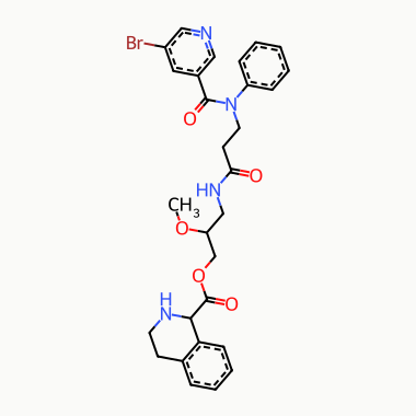 COC(CNC(=O)CCN(C(=O)c1cncc(Br)c1)c1ccccc1)COC(=O)C1NCCc2ccccc21